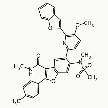 CNC(=O)c1c(-c2ccc(C)cc2)oc2cc(N(C)S(C)(=O)=O)c(-c3ccc(OC)c(-c4cc5ccccc5o4)n3)cc12